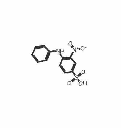 O=[N+]([O-])c1cc(S(=O)(=O)O)ccc1Nc1ccccc1